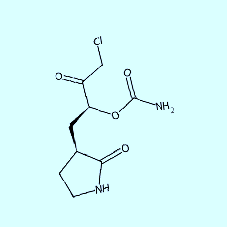 NC(=O)O[C@@H](C[C@@H]1CCNC1=O)C(=O)CCl